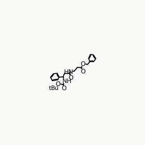 CC(C)(C)OC(=O)NC(CC(=O)NCCC(=O)OCc1ccccc1)c1ccccc1